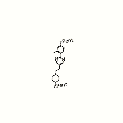 CCCCCc1ccc(-c2ncc(CCC3CCC(CCCCC)CC3)cn2)c(C)c1